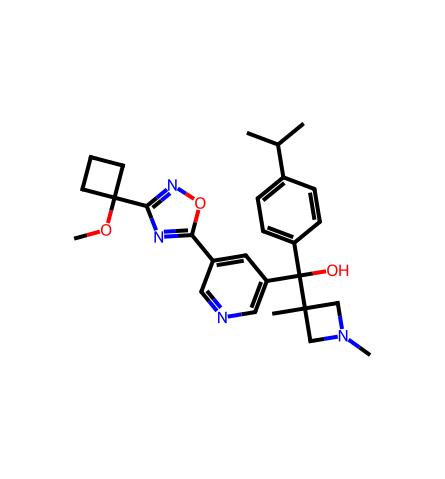 COC1(c2noc(-c3cncc(C(O)(c4ccc(C(C)C)cc4)C4(C)CN(C)C4)c3)n2)CCC1